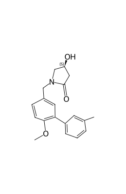 COc1ccc(CN2C[C@@H](O)CC2=O)cc1-c1cccc(C)c1